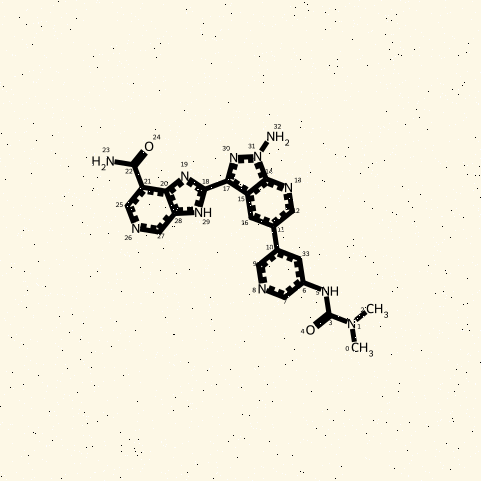 CN(C)C(=O)Nc1cncc(-c2cnc3c(c2)c(-c2nc4c(C(N)=O)cncc4[nH]2)nn3N)c1